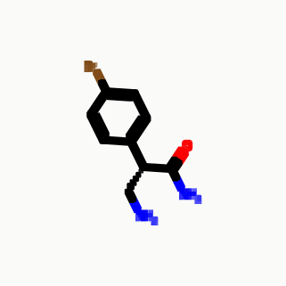 NC[C@@H](C(N)=O)c1ccc(Br)cc1